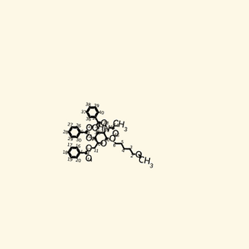 COCCCCCO[C@@H]1OC(COC(=O)c2ccccc2)[C@H](OC(=O)c2ccccc2)[C@H](OC(=O)c2ccccc2)C1NC(C)=O